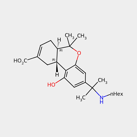 CCCCCCNC(C)(C)c1cc(O)c2c(c1)OC(C)(C)[C@@H]1CC=C(C(=O)O)C[C@@H]21